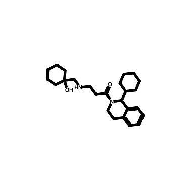 O=C(CCNCC1(O)CCCCC1)N1CCc2ccccc2C1C1CCCCC1